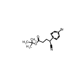 CC(C)(C)OC(=O)CCC(C#N)c1ccc(Br)cc1